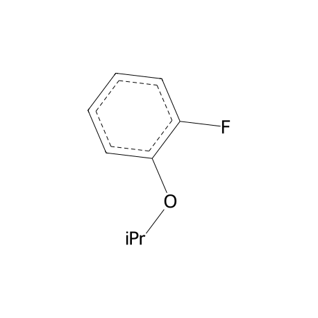 [CH2]C(C)Oc1ccccc1F